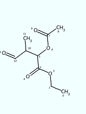 CCOC(=O)C(OC(C)=O)C(C)C=O